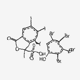 O=C1OC(I)(S(=O)(=O)O)c2c1cc(I)c(I)c2I.Oc1cc(Br)c(Br)c(Br)c1Br